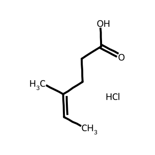 CC=C(C)CCC(=O)O.Cl